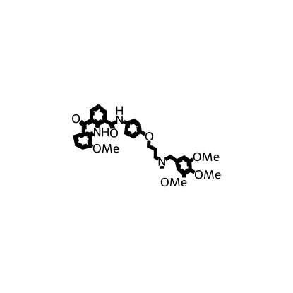 COc1cc(CN(C)CCCOc2ccc(NC(=O)c3cccc4c(=O)c5cccc(OC)c5[nH]c34)cc2)cc(OC)c1OC